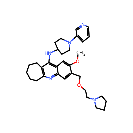 COc1cc2c(NC3CCN(c4cccnc4)CC3)c3c(nc2cc1COCCN1CCCC1)CCCCC3